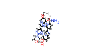 COc1ccc2nc(-c3cnc(N4CCOCC4)nc3)cn2c1.NC(=O)c1ccc(-c2cn3cc(O)ccc3n2)cn1